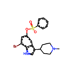 CN1CCC(c2c[nH]c3c(Br)cc(OS(=O)(=O)c4ccccc4)cc23)CC1